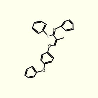 CC(=COc1ccc(Oc2ccccc2)cc1)C(=Nc1ccccc1)Oc1ccccc1